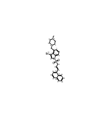 CN1CCN(Cc2cccc3c2c(Br)cn3S(=O)(=O)CC=Cc2cccc3ccccc23)CC1